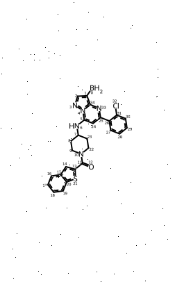 Bc1cnn2c(NC3CCN(C(=O)c4cc5ccccc5s4)CC3)cc(-c3ccccc3Cl)nc12